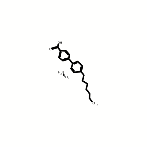 CCCCCCCc1ccc(-c2ccc(C(=O)O)cc2)cc1.NN